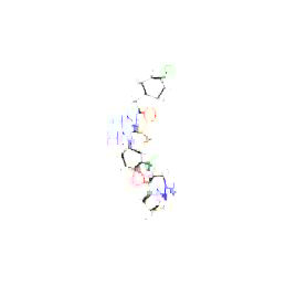 O=C(Cc1ccc(F)cc1)NC(=S)Nc1ccc(Oc2ccnn3cccc23)c(F)c1